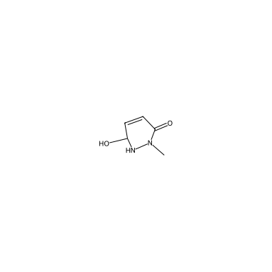 CN1NC(O)C=CC1=O